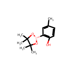 Cc1ccc(O)c(B2OC(C)(C)C(C)(C)O2)c1